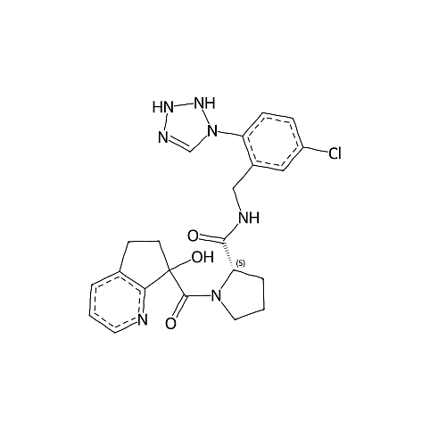 O=C(NCc1cc(Cl)ccc1N1C=NNN1)[C@@H]1CCCN1C(=O)C1(O)CCc2cccnc21